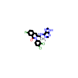 C[C@H](Nc1ncnc2[nH]cnc12)c1cc2ccc(F)cc2c(=O)n1-c1ccc(Cl)c(Cl)c1